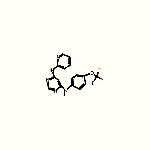 FC(F)(F)Oc1ccc(Nc2cc(Nc3ccccn3)ncn2)cc1